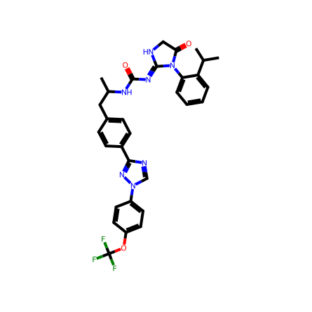 CC(Cc1ccc(-c2ncn(-c3ccc(OC(F)(F)F)cc3)n2)cc1)NC(=O)/N=C1\NCC(=O)N1c1ccccc1C(C)C